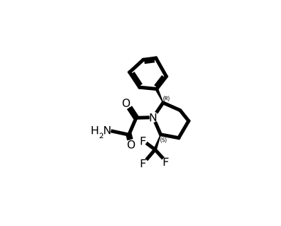 NC(=O)C(=O)N1[C@@H](c2ccccc2)CCC[C@H]1C(F)(F)F